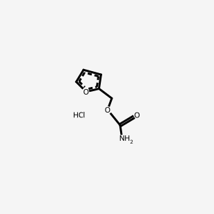 Cl.NC(=O)OCc1ccco1